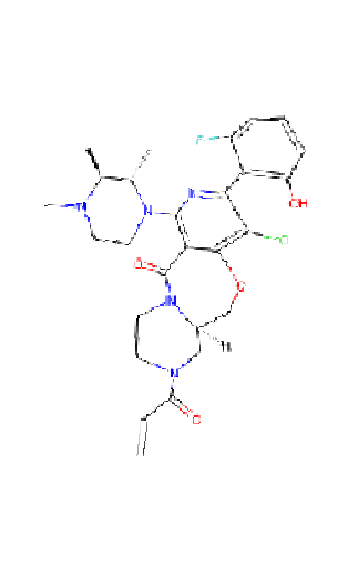 C=CC(=O)N1CCN2C(=O)c3c(N4CCN(C)[C@@H](C)[C@@H]4C)nc(-c4c(O)cccc4F)c(Cl)c3OC[C@H]2C1